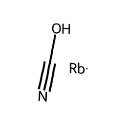 N#CO.[Rb]